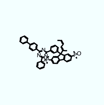 C/C=C\C=C(/C)C1(c2cccc(-c3nc(-c4ccccc4)nc(-c4ccc(-c5ccccc5)cc4)n3)c2)c2cc(P(C)(C)=O)ccc2-c2ccc(P(C)(C)=O)cc21